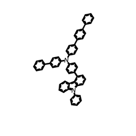 c1ccc(-c2ccc(-c3ccc(N(c4ccc(-c5ccccc5)cc4)c4ccc(-c5cccc6c5c5ccccc5n6-c5ccccc5)cc4)cc3)cc2)cc1